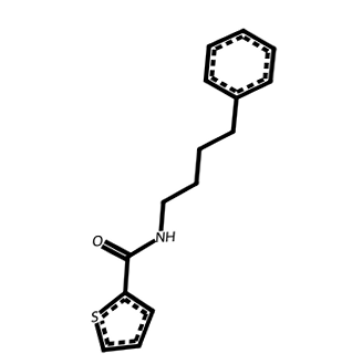 O=C(NCCCCc1ccccc1)c1cccs1